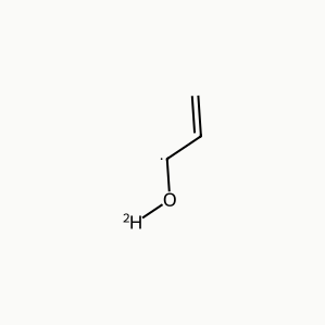 [2H]O[CH]C=C